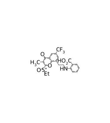 CC[S@+]([O-])c1oc2c(CCNc3ccccc3C(=O)O)cc(C(F)(F)F)cc2c(=O)c1C